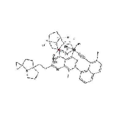 CC(C)[Si](C#Cc1c(F)ccc2cccc(-c3nc4c5c(nc(OCC67CCCN6C6(CC6)CC7)nc5c3F)N3C[C@H]5CC[C@@H]([C@H]3[C@H](C)O4)N5C(=O)OC(C)(C)C)c12)(C(C)C)C(C)C